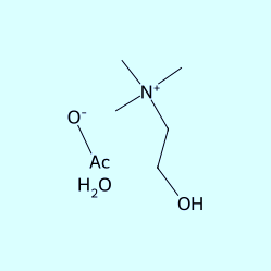 CC(=O)[O-].C[N+](C)(C)CCO.O